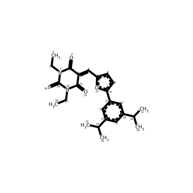 CCN1C(=O)C(=Cc2ccc(-c3cc(C(C)C)cc(C(C)C)c3)o2)C(=O)N(CC)C1=S